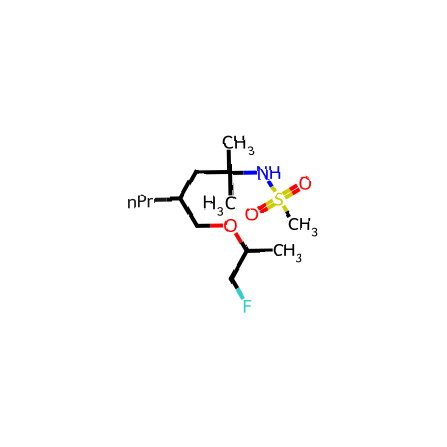 CCCC(COC(C)CF)CC(C)(C)NS(C)(=O)=O